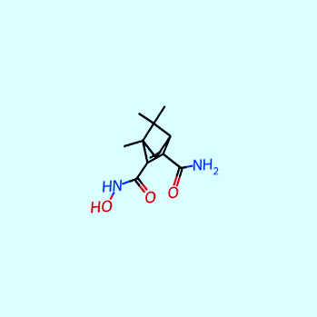 CC12CC(C(C(N)=O)=C1C(=O)NO)C2(C)C